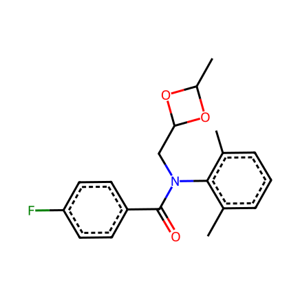 Cc1cccc(C)c1N(CC1OC(C)O1)C(=O)c1ccc(F)cc1